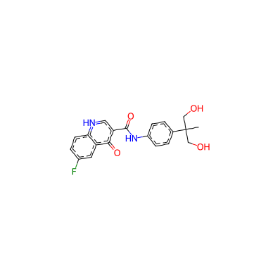 CC(CO)(CO)c1ccc(NC(=O)c2c[nH]c3ccc(F)cc3c2=O)cc1